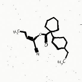 CC/C=C(/C#N)OC(=O)C1(C2CCC(CC)CC2)CCCCC1